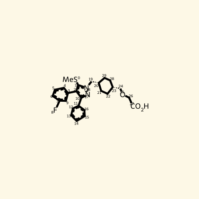 CSc1c(-c2cccc(F)c2)c(-c2ccccc2)nn1C[C@H]1CC[C@@H](COCC(=O)O)CC1